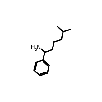 CC(C)CCCC(N)c1ccccc1